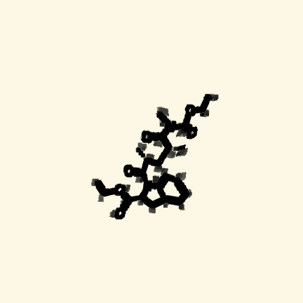 CCOC(=O)[C@@H]1Cc2ccccc2N1C(=O)[C@H](C)C[C@@H](C)C(=O)N(C)C(=O)OCC